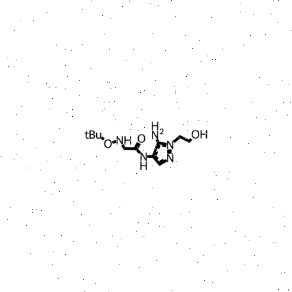 CC(C)(C)ONCC(=O)Nc1cnn(CCO)c1N